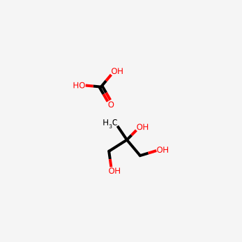 CC(O)(CO)CO.O=C(O)O